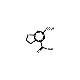 COC(=O)c1cc(C(=O)O)cc2c1CCO2